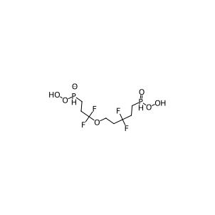 O=[PH](CCC(F)(F)CCOC(F)(F)CC[PH](=O)OO)OO